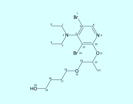 CCN(CC)c1c(Br)cnc(OC(C)COCCCCO)c1Br